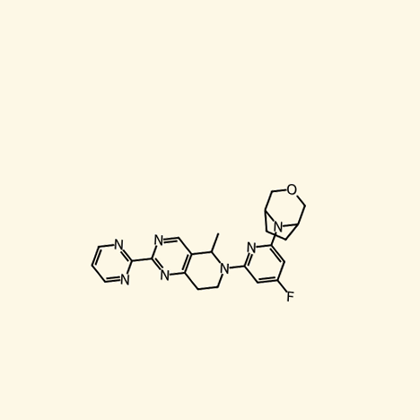 CC1c2cnc(-c3ncccn3)nc2CCN1c1cc(F)cc(N2C3CCC2COC3)n1